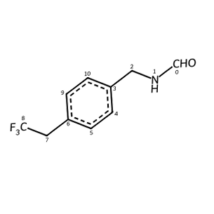 O=CNCc1ccc(CC(F)(F)F)cc1